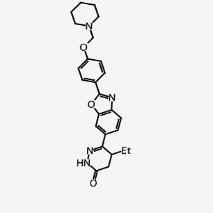 CCC1CC(=O)NN=C1c1ccc2nc(-c3ccc(OCN4CCCCC4)cc3)oc2c1